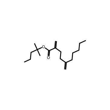 C=C(CCCCC)CCC(=C)C(=O)OC(C)(C)CCC